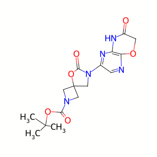 CC(C)(C)OC(=O)N1CC2(C1)CN(c1cnc3c(n1)NC(=O)CO3)C(=O)O2